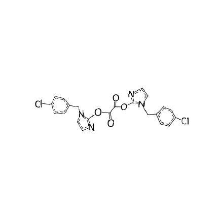 O=C(Oc1nccn1Cc1ccc(Cl)cc1)C(=O)Oc1nccn1Cc1ccc(Cl)cc1